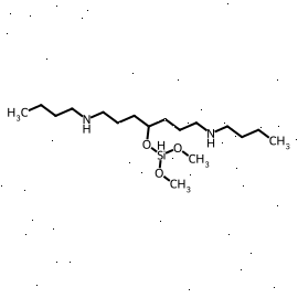 CCCCNCCCC(CCCNCCCC)O[SiH](OC)OC